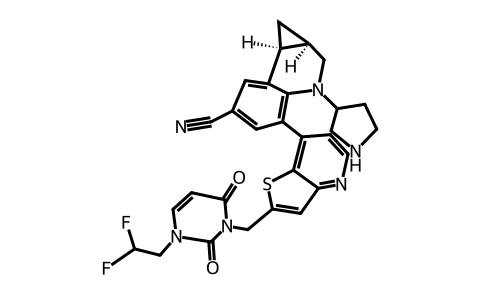 N#Cc1cc(-c2ccnc3cc(Cn4c(=O)ccn(CC(F)F)c4=O)sc23)c2c(c1)[C@H]1C[C@H]1CN2C1CCNC1